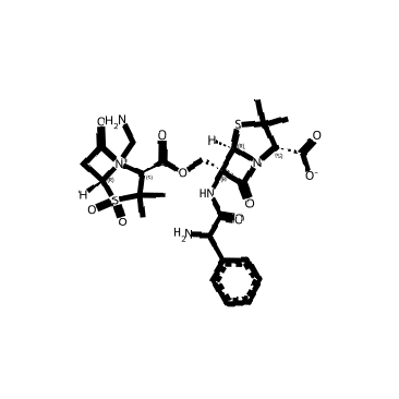 CC1(C)S[C@H]2N(C(=O)[C@@]2(COC(=O)[C@H]2C(C)(C)S(=O)(=O)[C@@H]3CC(=O)[N+]32CN)NC(=O)C(N)c2ccccc2)[C@H]1C(=O)[O-]